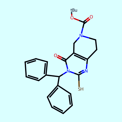 CC(C)(C)OC(=O)N1CCc2nc(S)n(C(c3ccccc3)c3ccccc3)c(=O)c2C1